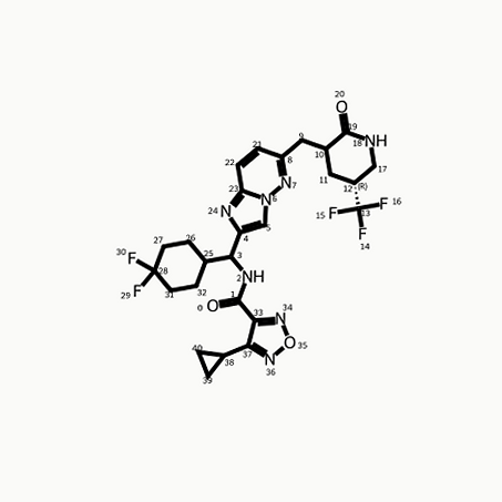 O=C(NC(c1cn2nc(CC3C[C@@H](C(F)(F)F)CNC3=O)ccc2n1)C1CCC(F)(F)CC1)c1nonc1C1CC1